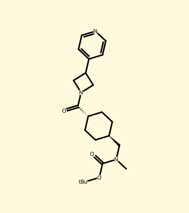 CN(C[C@H]1CC[C@H](C(=O)N2CC(c3ccncc3)C2)CC1)C(=O)OC(C)(C)C